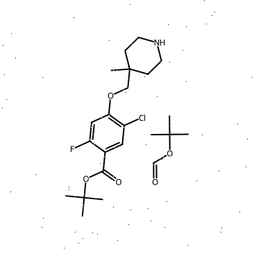 CC(C)(C)OC=O.CC1(COc2cc(F)c(C(=O)OC(C)(C)C)cc2Cl)CCNCC1